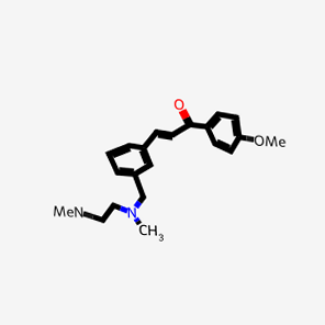 CNCCN(C)Cc1cccc(C=CC(=O)c2ccc(OC)cc2)c1